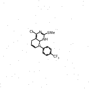 CSC1=NC(Cl)=C2CC=CN(c3ccc(C(F)(F)F)cc3)C2N1